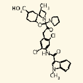 CC1CN(C(OC2CCC(C(=O)O)CC2)(C(=O)Cc2cc(Cl)c(NC(=O)c3cn(C)c4ccccc34)cc2Cl)N2CCCC2)C1